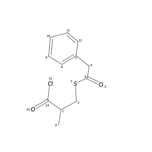 CC(CSC(=O)Cc1ccccc1)C(=O)Cl